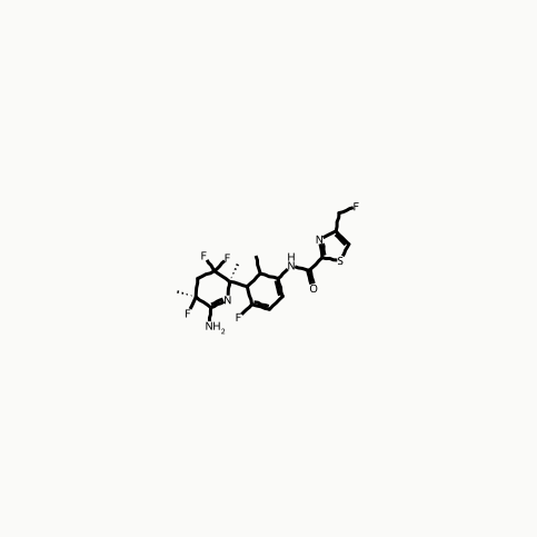 CC1C(NC(=O)c2nc(CF)cs2)=CC=C(F)C1[C@@]1(C)N=C(N)[C@@](C)(F)CC1(F)F